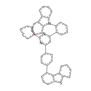 c1ccc(-c2nc(-c3ccc(-c4cccc5sc6ccccc6c45)cc3)cc(-c3ccccc3-n3c4ccccc4c4ccccc43)n2)cc1